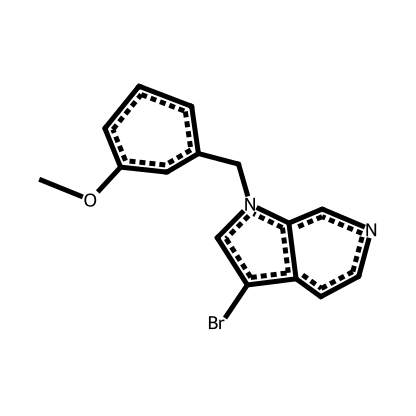 COc1cccc(Cn2cc(Br)c3ccncc32)c1